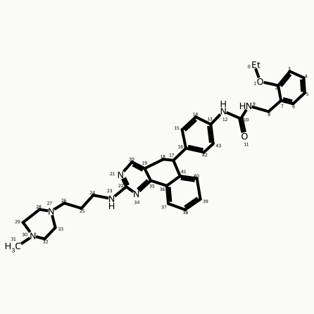 CCOc1ccccc1CNC(=O)Nc1ccc(C2Cc3cnc(NCCCN4CCN(C)CC4)nc3-c3ccccc32)cc1